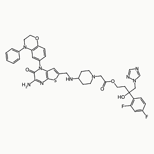 Nc1nc2sc(CNC3CCN(CC(=O)OCCC(O)(Cn4cncn4)c4ccc(F)cc4F)CC3)cc2n(-c2ccc3c(c2)N(c2ccccc2)CCO3)c1=O